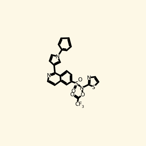 O=C(ON(c1nccs1)S(=O)(=O)c1ccc2c(-c3ccn(-c4ccccc4)c3)nccc2c1)C(F)(F)F